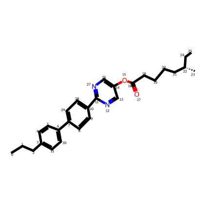 CCCc1ccc(-c2ccc(-c3ncc(OC(=O)CCCC[C@@H](C)CC)cn3)cc2)cc1